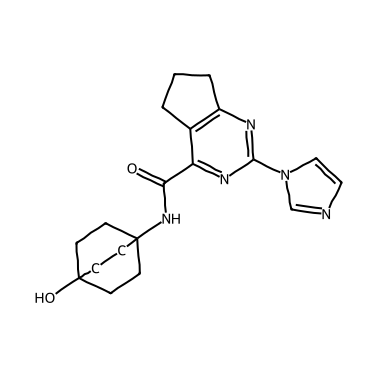 O=C(NC12CCC(O)(CC1)CC2)c1nc(-n2ccnc2)nc2c1CCC2